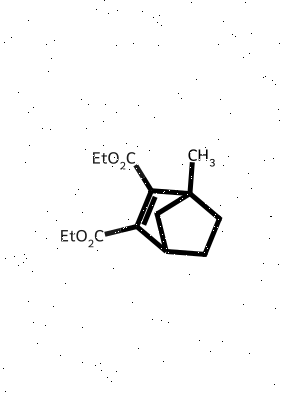 CCOC(=O)C1=C(C(=O)OCC)C2(C)CCC1C2